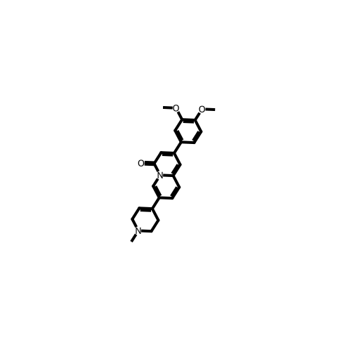 COc1ccc(-c2cc(=O)n3cc(C4=CCN(C)CC4)ccc3c2)cc1OC